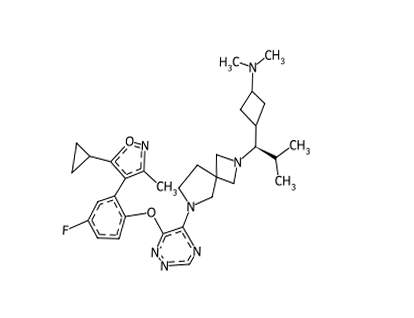 Cc1noc(C2CC2)c1-c1cc(F)ccc1Oc1nncnc1N1CCC2(C1)CN([C@H](C(C)C)C1CC(N(C)C)C1)C2